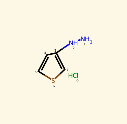 Cl.NNc1ccsc1